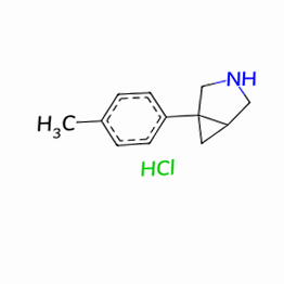 Cc1ccc(C23CNCC2C3)cc1.Cl